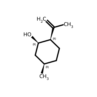 C=C(C)[C@H]1CC[C@@H](C)C[C@H]1O